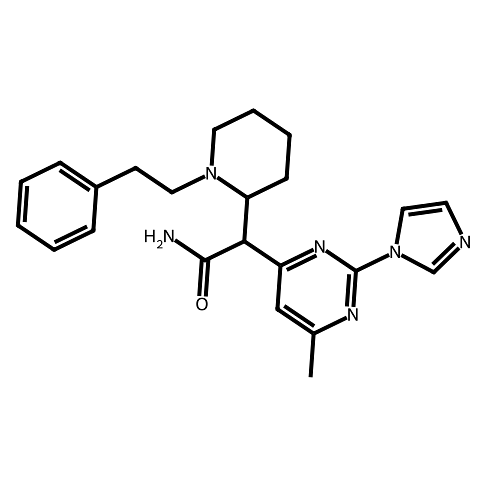 Cc1cc(C(C(N)=O)C2CCCCN2CCc2ccccc2)nc(-n2ccnc2)n1